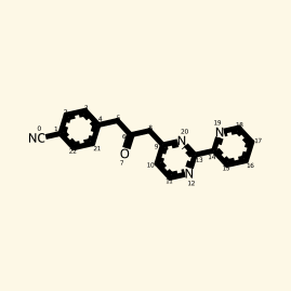 N#Cc1ccc(CC(=O)Cc2ccnc(-c3ccccn3)n2)cc1